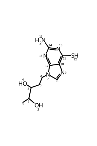 CC(O)C(O)CCn1cnc2c(S)nc(N)nc21